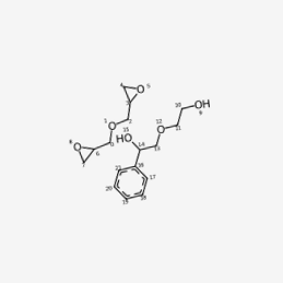 C(OCC1CO1)C1CO1.OCCOCC(O)c1ccccc1